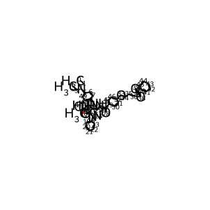 CCN(CC)c1ccc(NC2(NC(C)=O)C(=O)N(c3ccccc3)N=C2NC(=O)c2ccc(OCCCS(=O)(=O)c3ccccc3)cc2)cc1